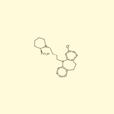 O=C(O)[C@H]1CCCCN1CCCCN1c2ccccc2CCc2ccc(Cl)cc21